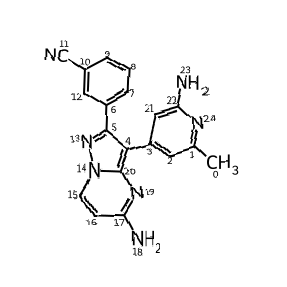 Cc1cc(-c2c(-c3cccc(C#N)c3)nn3ccc(N)nc23)cc(N)n1